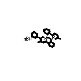 CCCCc1cccc(C2=C(C)C=C3c4ccccc4C[C@@H](c4ccccc4-c4ccc(C)cn4)N3C2)c1